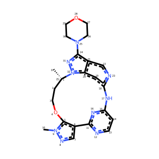 C[C@H]1CCOc2c(cnn2C)-c2nccc(n2)Nc2cc3c(cn2)c(N2CCOCC2)nn31